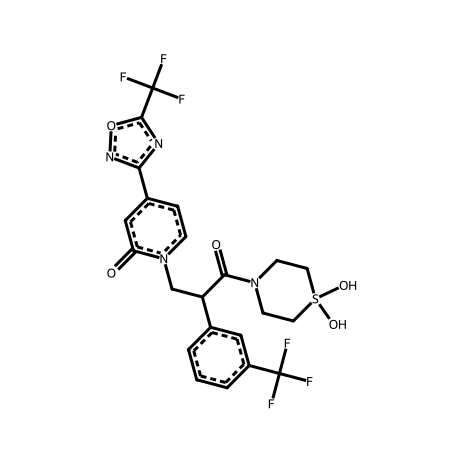 O=C(C(Cn1ccc(-c2noc(C(F)(F)F)n2)cc1=O)c1cccc(C(F)(F)F)c1)N1CCS(O)(O)CC1